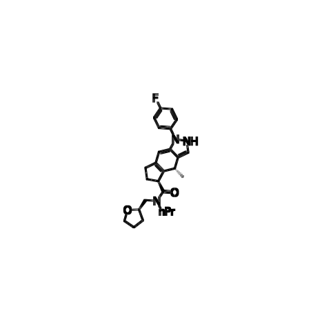 CCCN(C[C@H]1CCCO1)C(=O)[C@H]1CCC2=C1[C@@H](C)C1=CNN(c3ccc(F)cc3)C1=C2